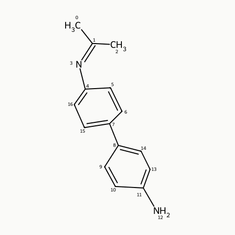 CC(C)=Nc1ccc(-c2ccc(N)cc2)cc1